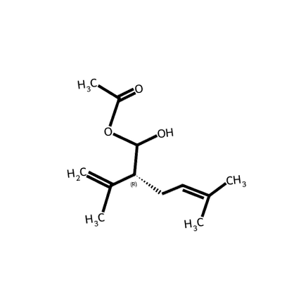 C=C(C)[C@@H](CC=C(C)C)C(O)OC(C)=O